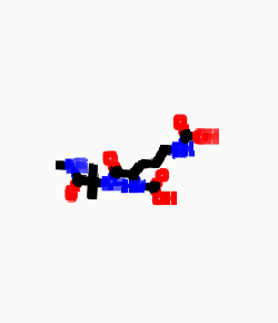 CNC(=O)C(C)(C)NC(=O)C(CCCNC(=O)O)NC(=O)O